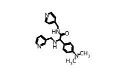 CN(C)c1ccc(C(NCc2cccnc2)C(=O)NCc2ccncc2)cc1